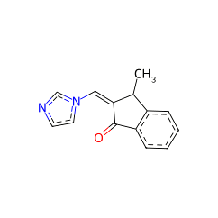 CC1C(=Cn2ccnc2)C(=O)c2ccccc21